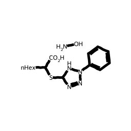 CCCCCCC(SC1N=NN(c2ccccc2)N1)C(=O)O.NO